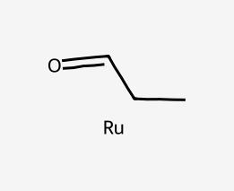 CCC=O.[Ru]